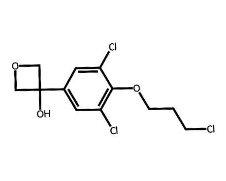 OC1(c2cc(Cl)c(OCCCCl)c(Cl)c2)COC1